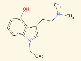 CC(=O)OCn1cc(CCN(C)C)c2c(O)cccc21